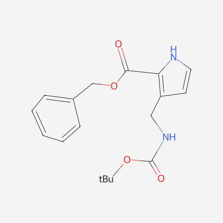 CC(C)(C)OC(=O)NCc1cc[nH]c1C(=O)OCc1ccccc1